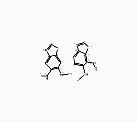 ClNc1cc2ncsc2cc1NCl.ClNc1ccc2ncsc2c1NCl